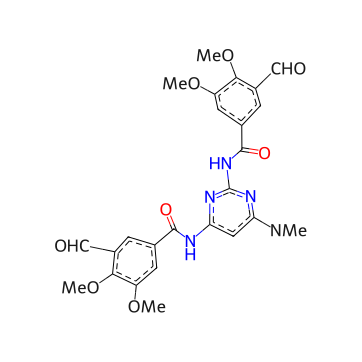 CNc1cc(NC(=O)c2cc(C=O)c(OC)c(OC)c2)nc(NC(=O)c2cc(C=O)c(OC)c(OC)c2)n1